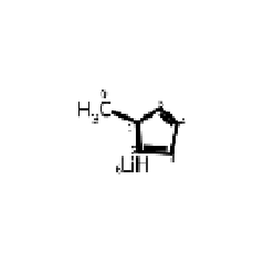 C[C]1C=CC=C1.[LiH]